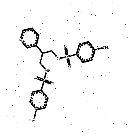 Cc1ccc(S(=O)(=O)NCC(COS(=O)(=O)c2ccc(C)cc2)c2cccnc2)cc1